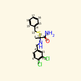 CC(NCc1ccc(Cl)c(Cl)c1)(SCc1ccccc1)C(N)=O